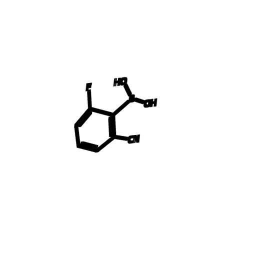 N#Cc1cccc(F)c1B(O)O